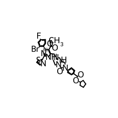 COC(=O)C1=C(CN2CCN3C(=O)N(c4ccc(C(=O)OC5CCCC5)cc4)C[C@@H]3C2)NC(c2nccs2)=N[C@H]1c1ccc(F)cc1Br